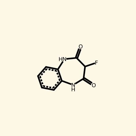 O=C1Nc2ccccc2NC(=O)C1F